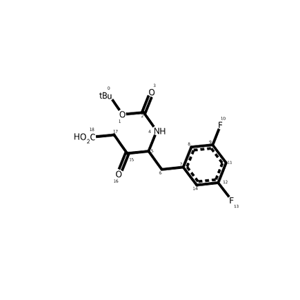 CC(C)(C)OC(=O)NC(Cc1cc(F)cc(F)c1)C(=O)CC(=O)O